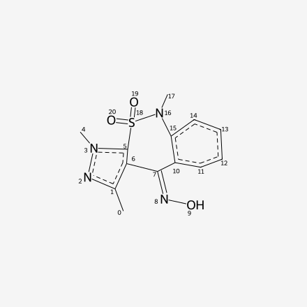 Cc1nn(C)c2c1C(=NO)c1ccccc1N(C)S2(=O)=O